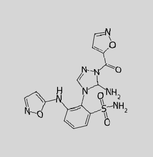 NC1N(C(=O)c2ccno2)N=CN1c1c(Nc2ccno2)cccc1S(N)(=O)=O